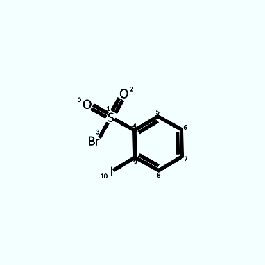 O=S(=O)(Br)c1ccccc1I